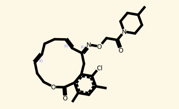 Cc1cc(C)c2c(c1Cl)CC(=N\OCC(=O)N1CCC(C)CC1)/C=C/CC/C=C/CCOC2=O